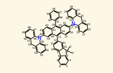 CC1(C)c2ccccc2-c2ccc(-c3c4ccc(N5c6ccccc6Cc6ccccc65)cc4c(-c4ccccc4)c4ccc(N5c6ccccc6Cc6ccccc65)cc34)cc21